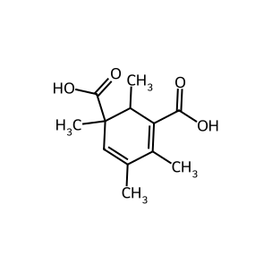 CC1=CC(C)(C(=O)O)C(C)C(C(=O)O)=C1C